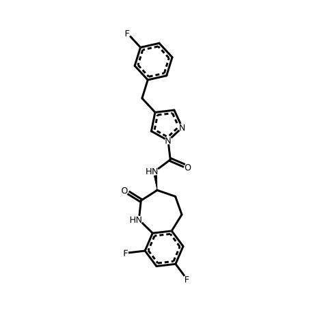 O=C1Nc2c(F)cc(F)cc2CC[C@@H]1NC(=O)n1cc(Cc2cccc(F)c2)cn1